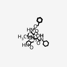 CC(C)C[C@H](NC(=O)OCc1ccccc1)C(=O)N[C@@H](CC1CCNC1=O)C(O)C(=O)NC1CCCCC1